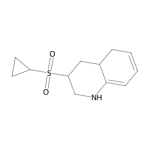 O=S(=O)(C1CC1)C1CNC2=CC=CCC2C1